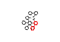 c1ccc(-c2cccc(-c3nc(-c4ccccc4-c4ccccc4)nc(-c4ccccc4-c4cc(-c5ccccc5)c(-c5ccccc5)c(-c5ccccc5)c4-c4ccccc4)n3)c2)cc1